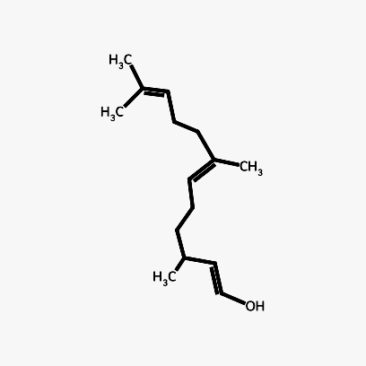 CC(C)=CCCC(C)=CCCC(C)C=CO